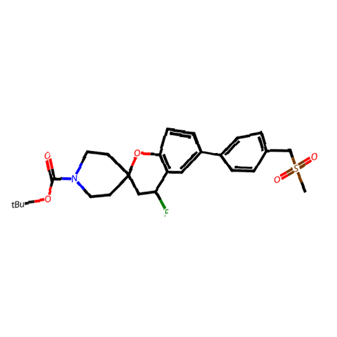 CC(C)(C)OC(=O)N1CCC2(CC1)CC(F)c1cc(-c3ccc(CS(C)(=O)=O)cc3)ccc1O2